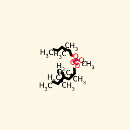 CCCCC(C)(C)CCOP(=O)(OC)OCCC(C)(C)CC(CC)C(C)(C)CCC